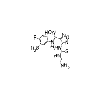 Bc1cc(N/C(=N\O)c2nonc2NC(=S)NCCN)ccc1F